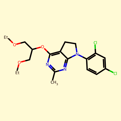 CCOCC(COCC)Oc1nc(C)nc2c1CCN2c1ccc(Cl)cc1Cl